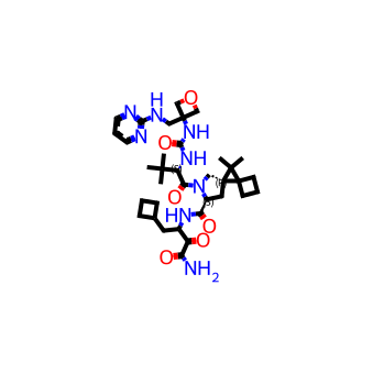 CC(C)(C)[C@H](NC(=O)NC1(CNc2ncccn2)COC1)C(=O)N1C[C@]2(C[C@H]1C(=O)NC(CC1CCC1)C(=O)C(N)=O)C(C)(C)C21CCC1